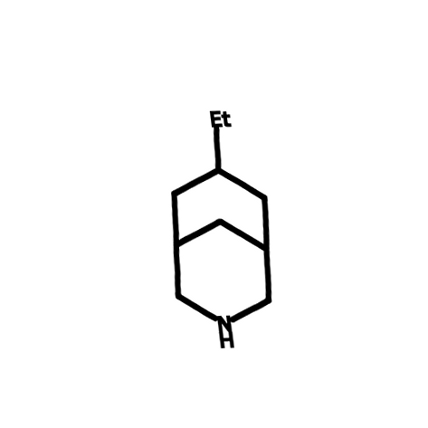 CCC1CC2CNCC(C1)C2